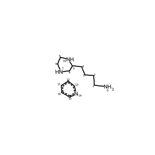 NCCCCC1CNCCN1.c1ccncc1